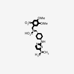 COc1cc(CN(C[C@H]2CC[C@@H](Nc3nccc(N(C)C)n3)CC2)C(=O)O)c([N+](=O)[O-])cc1OC